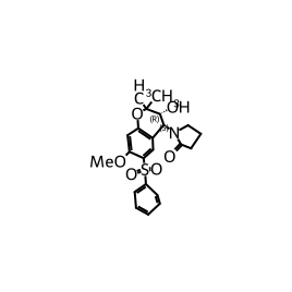 COc1cc2c(cc1S(=O)(=O)c1ccccc1)[C@H](N1CCCC1=O)[C@@H](O)C(C)(C)O2